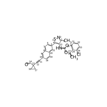 Cc1nsc(-c2ccc3cc(C#CC4(C=O)CC4)ccc3c2)c1NC(=O)O[C@H](C)c1ccccc1Cl